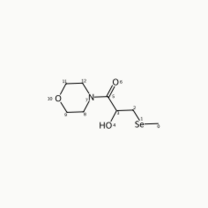 C[Se]CC(O)C(=O)N1CCOCC1